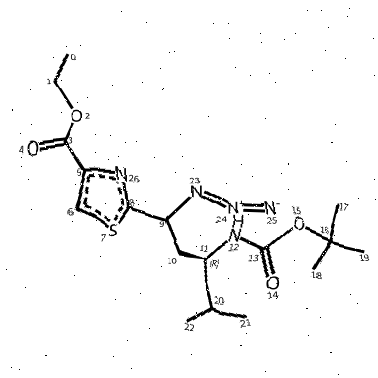 CCOC(=O)c1csc(C(C[C@@H](NC(=O)OC(C)(C)C)C(C)C)N=[N+]=[N-])n1